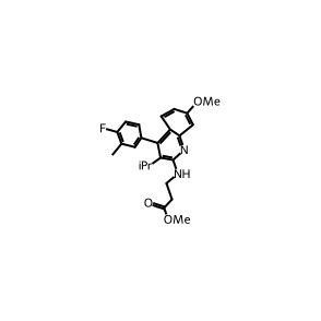 COC(=O)CCNc1nc2cc(OC)ccc2c(-c2ccc(F)c(C)c2)c1C(C)C